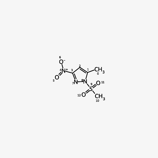 Cc1cc([N+](=O)[O-])nn1S(C)(=O)=O